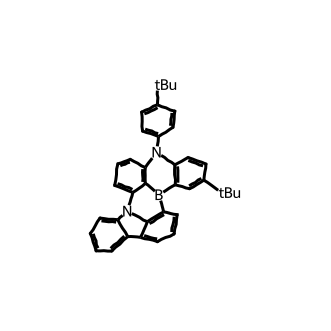 CC(C)(C)c1ccc(N2c3ccc(C(C)(C)C)cc3B3c4c2cccc4-n2c4ccccc4c4cccc3c42)cc1